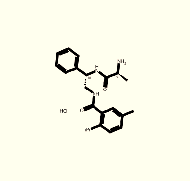 Cc1ccc(C(C)C)c(C(=O)NC[C@@H](NC(=O)[C@H](C)N)c2ccccc2)c1.Cl